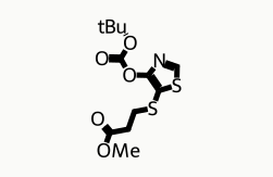 COC(=O)CCSc1scnc1OC(=O)OC(C)(C)C